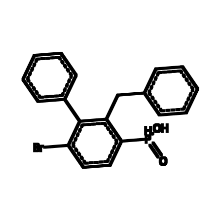 O=[PH](O)c1ccc(Br)c(-c2ccccc2)c1Cc1ccccc1